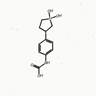 O=C(O)Nc1ccc(C2CCS(O)(O)C2)cc1